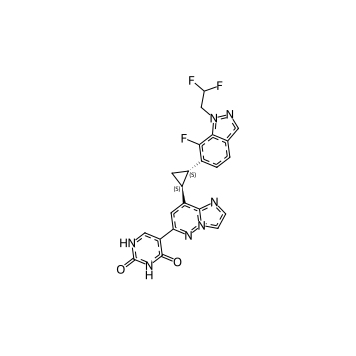 O=c1[nH]cc(-c2cc([C@H]3C[C@@H]3c3ccc4cnn(CC(F)F)c4c3F)c3nccn3n2)c(=O)[nH]1